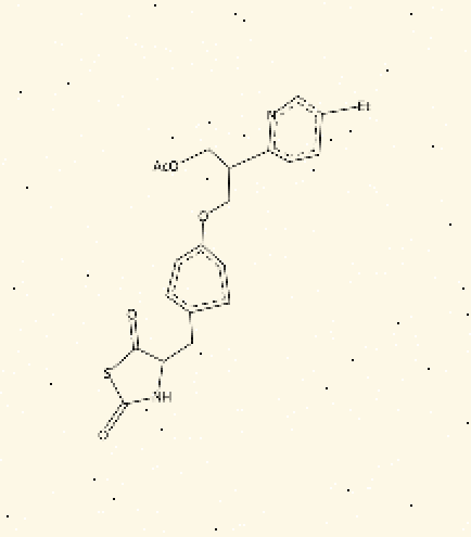 CCc1ccc(C(COC(C)=O)COc2ccc(CC3NC(=O)SC3=O)cc2)nc1